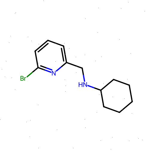 Brc1cccc(CNC2CCCCC2)n1